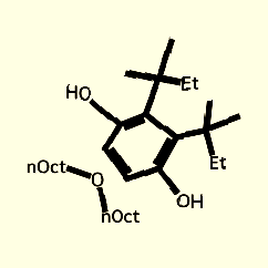 CCC(C)(C)c1c(O)ccc(O)c1C(C)(C)CC.CCCCCCCCOCCCCCCCC